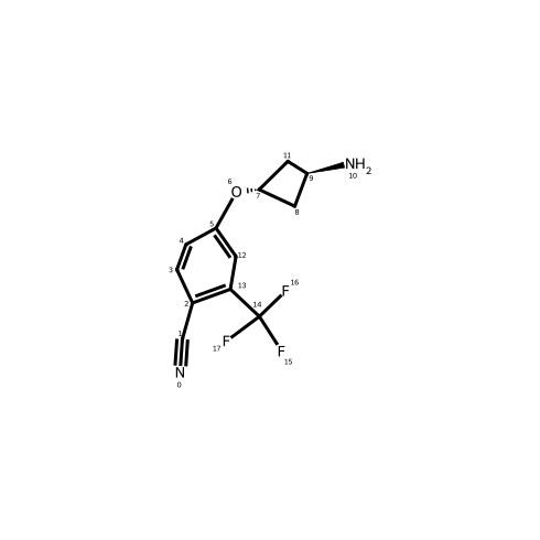 N#Cc1ccc(O[C@H]2C[C@H](N)C2)cc1C(F)(F)F